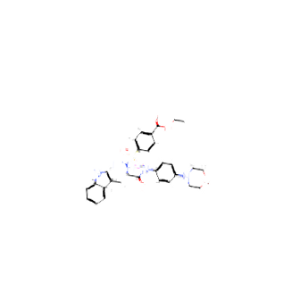 CCOC(=O)c1ccc(S(=O)(=O)N[C@@H](Cc2c[nH]c3ccccc23)C(=O)Nc2ccc(N3CCOCC3)cc2)cc1